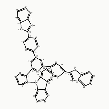 c1ccc(-n2c3ccccc3c3ccccc32)c(-c2nc(-c3ccc(-c4nc5ccccc5o4)cc3)nc(-c3ccc(-c4nc5ccccc5o4)cc3)n2)c1